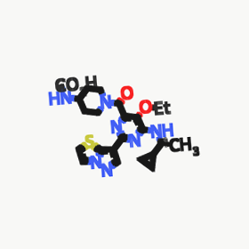 CCOc1c(N[C@@H](C)C2CC2)nc(-c2cnn3ccsc23)nc1C(=O)N1CCC(NC(=O)O)CC1